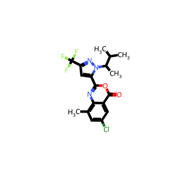 Cc1cc(Cl)cc2c(=O)oc(-c3cc(C(F)(F)F)nn3C(C)C(C)C)nc12